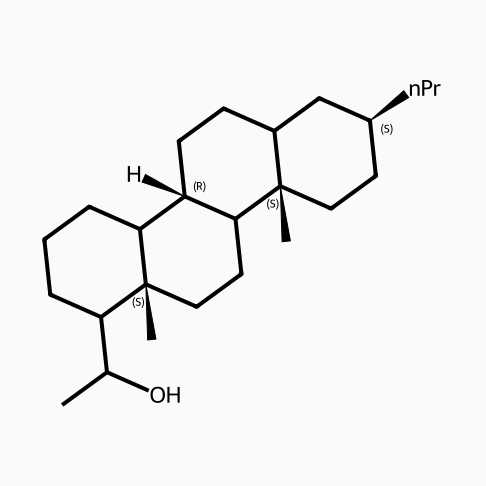 CCC[C@H]1CC[C@@]2(C)C(CC[C@@H]3C2CC[C@]2(C)C(C(C)O)CCCC32)C1